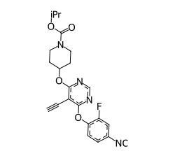 [C-]#[N+]c1ccc(Oc2ncnc(OC3CCN(C(=O)OC(C)C)CC3)c2C#C)c(F)c1